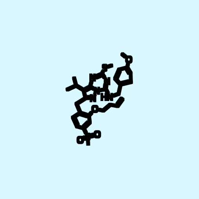 C=CCCOc1cc(S(C)(=O)=O)ccc1Cc1nn2c(NCc3ccc(OC)cc3)nc(SC)nc2c1C(C)C